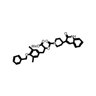 COC(=O)C(Cc1cc(C)c(OCc2ccccc2)c(C)c1)OC(=O)N1CCC(c2cc3ccccc3[nH]c2=O)CC1